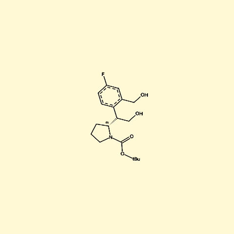 CC(C)(C)OC(=O)N1CCC[C@@H]1C(CO)c1ccc(F)cc1CO